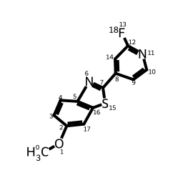 COc1ccc2nc(-c3ccnc([18F])c3)sc2c1